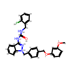 COc1cccc(OCc2ccc(Cn3nc(NC(=O)NCc4ccccc4F)c4ccccc43)cc2)c1